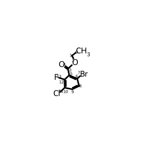 CCOC(=O)c1c(Br)ccc(Cl)c1F